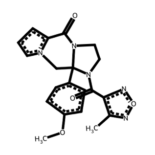 COc1ccc(C23Cn4cccc4C(=O)N2CCN3C(=O)c2nonc2C)cc1